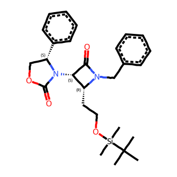 CC(C)(C)[Si](C)(C)OCC[C@@H]1[C@H](N2C(=O)OC[C@@H]2c2ccccc2)C(=O)N1Cc1ccccc1